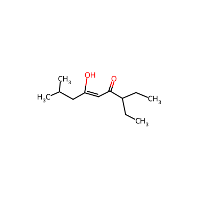 CCC(CC)C(=O)/C=C(\O)CC(C)C